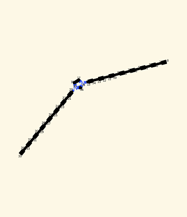 C#CC#CC#CC#CC#CC#CC#CC#Cn1cc[n+](C#CC#CC#CC#CC#CC#CC#CC#C)c1